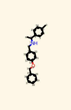 Cc1ccc(C(C)NCc2ccc(OCc3ccccc3)cc2)cc1